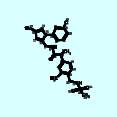 Cc1cc(C(C)C(=O)NCc2cc(C(C)(C)C)nn2-c2cccc(Cl)c2)ccc1CNS(C)(=O)=O